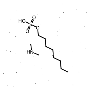 CCCCCCCCOS(=O)(=O)O.CNC